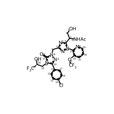 CC(=O)NC(CO)c1nc(Cn2nc(-c3ccc(Cl)cc3)n(C[C@H](O)C(F)(F)F)c2=O)nn1-c1ncccc1OC(F)(F)F